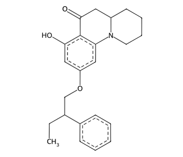 CCC(COc1cc(O)c2c(c1)N1CCCCC1CC2=O)c1ccccc1